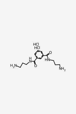 Cl.Cl.NCCCNC(=O)c1cccc(C(=O)NCCCN)c1